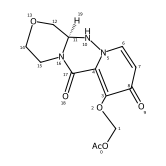 CC(=O)OCOc1c2n(ccc1=O)N[C@@H]1COCCN1C2=O